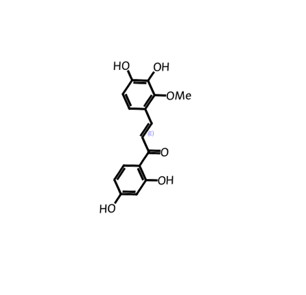 COc1c(/C=C/C(=O)c2ccc(O)cc2O)ccc(O)c1O